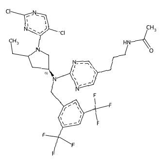 CCC1C[C@H](N(Cc2cc(C(F)(F)F)cc(C(F)(F)F)c2)c2ncc(CCCNC(C)=O)cn2)CN1c1nc(Cl)ncc1Cl